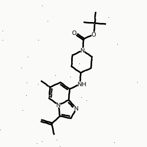 C=C(C)c1cnc2c(NC3CCN(C(=O)OC(C)(C)C)CC3)cc(C)cn12